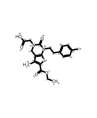 CCOC(=O)c1sc2c(c1C)CN(CC(=O)O)C(=O)N2CCc1ccc(I)cc1